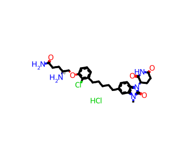 Cl.Cn1c(=O)n(C2CCC(=O)NC2=O)c2ccc(CCCCCc3cccc(OC[C@@H](N)CCC(N)=O)c3Cl)cc21